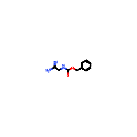 N=C(N)CNC(=O)OCc1ccccc1